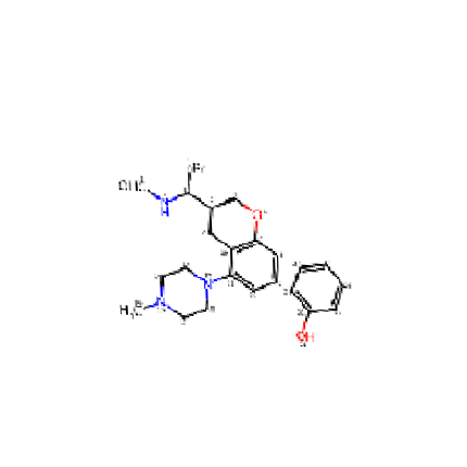 CCC[C@H](NC=O)[C@H]1COc2cccc(N3CCN(C)CC3)c2C1.Oc1ccccc1